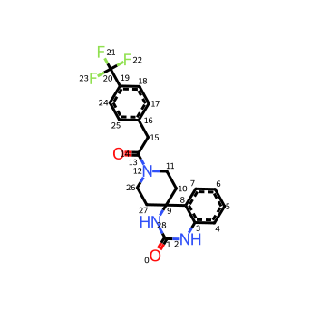 O=C1Nc2ccccc2C2(CCN(C(=O)Cc3ccc(C(F)(F)F)cc3)CC2)N1